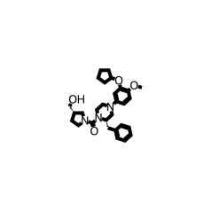 COc1ccc(N2CCN(C(=O)N3CC[C@H](CO)C3)[C@@H](Cc3ccccc3)C2)cc1OC1CCCC1